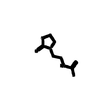 C=C(C)NCCN1CC[N]C1=O